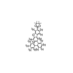 [2H]c1c([2H])c([2H])c(-c2c([2H])c([2H])c([2H])c([2H])c2-c2cc([2H])c3oc4c([2H])c(B5OC(C)(C)C(C)(C)O5)c([2H])c([2H])c4c3c2[2H])c([2H])c1[2H]